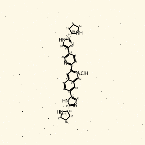 Cl.c1cc(-c2cc3ccc(-c4cnc([C@@H]5CCCN5)[nH]4)cc3cn2)ncc1-c1c[nH]c([C@@H]2CCCN2)n1